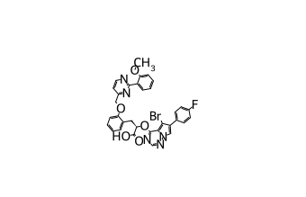 COc1ccccc1-c1nccc(COc2ccccc2C[C@@H](Oc2ncnn3cc(-c4ccc(F)cc4)c(Br)c23)C(=O)O)n1